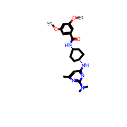 CCOc1cc(OCC)cc(C(=O)N[C@H]2CC[C@@H](Nc3cc(C)nc(N(C)C)n3)CC2)c1